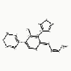 CN/C=C\C=C1/CC=C(C2=CCCC=C2)C(C)=C1C1=CCC=C1